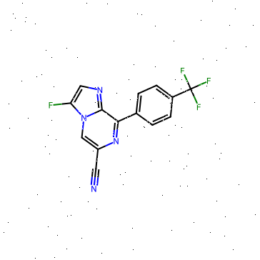 N#Cc1cn2c(F)cnc2c(-c2ccc(C(F)(F)F)cc2)n1